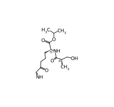 CC(C)OC(=O)[C@H](CCCC(=O)C=N)NC(=O)[C@H](C)CO